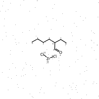 CCCCC(C=O)CC.[Cl][Zr][Cl]